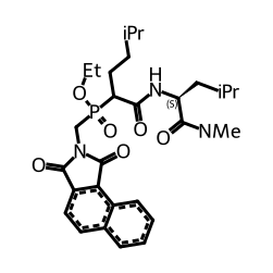 CCOP(=O)(CN1C(=O)c2ccc3ccccc3c2C1=O)C(CCC(C)C)C(=O)N[C@@H](CC(C)C)C(=O)NC